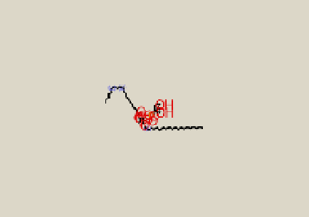 CCCCC/C=C\C/C=C\CCCCCCCCCC(=O)O[C@H](CO/C=C\CCCCCCCCCCCCCCCCCC)COP(=O)(O)OC[C@@H](O)CO